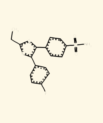 CCc1nc(-c2ccc(F)cc2)c(-c2ccc(S(N)(=O)=O)cc2)s1